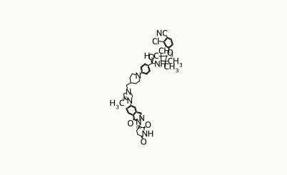 C[C@@H]1CN(CC2CCN(c3ccc(C(=O)N[C@H]4C(C)(C)[C@H](Oc5ccc(C#N)c(Cl)c5)C4(C)C)cc3)CC2)CCN1c1ccc2c(=O)n([C@@H]3CCC(=O)NC3=O)ncc2c1